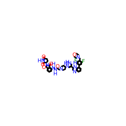 N=C/C(=C\NC1CCN(CC(=O)NNc2cccc3c2C(=O)N(C2CCC(=O)NC2=O)C3=O)CC1)C1C=Nc2cccc(-c3cc(F)c(CN4CCOCC4)c(F)c3)c2N1